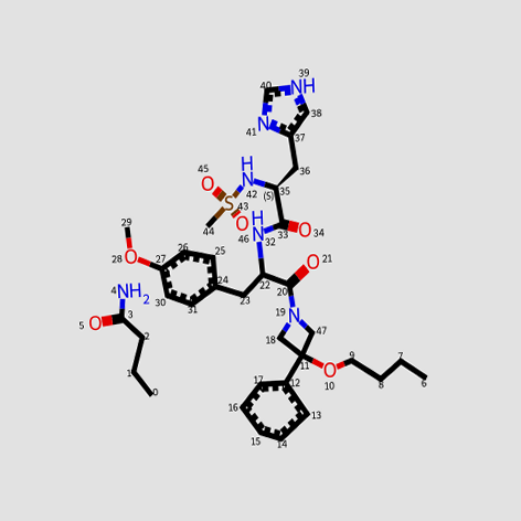 CCCC(N)=O.CCCCOC1(c2ccccc2)CN(C(=O)C(Cc2ccc(OC)cc2)NC(=O)[C@H](Cc2c[nH]cn2)NS(C)(=O)=O)C1